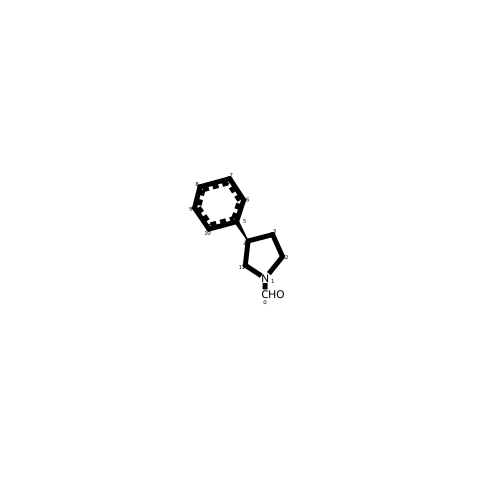 O=CN1CC[C@H](c2ccccc2)C1